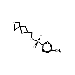 Cc1ccc(S(=O)(=O)OCC2CC3(CSC3)C2)cc1